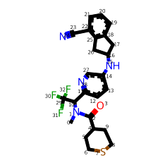 CN(C(=O)C1CCSCC1)C(c1ccc(NC2Cc3cccc(C#N)c3C2)cn1)C(F)(F)F